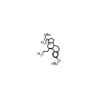 C=CCC1=C2c3ccc(OCCCC)cc3CCC2C2CC[C@H](OCCCC)[C@@]2(C)C1